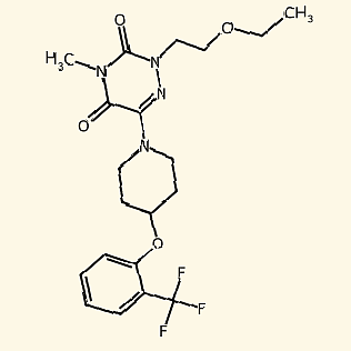 CCOCCn1nc(N2CCC(Oc3ccccc3C(F)(F)F)CC2)c(=O)n(C)c1=O